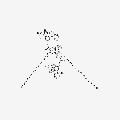 CCCCCCCCCCCCCCCCCCSCC(CN1C(=O)N(CC(CSCCCCCCCCCCCCCCCCCC)OC(=O)CCc2cc(C(C)(C)C)c(O)c(C(C)(C)C)c2)C(C)(CC)C1=O)OC(=O)CCc1cc(C(C)(C)C)c(O)c(C(C)(C)C)c1